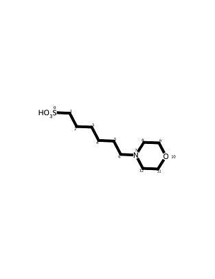 O=S(=O)(O)CCCCCCN1CCOCC1